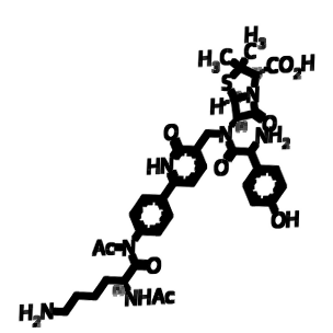 CC(=O)N[C@@H](CCCCN)C(=O)N(C(C)=O)c1ccc(-c2ccc(CN(C(=O)C(N)c3ccc(O)cc3)[C@@H]3C(=O)N4[C@@H]3SC(C)(C)[C@@H]4C(=O)O)c(=O)[nH]2)cc1